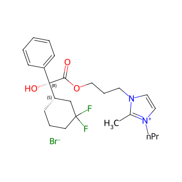 CCC[n+]1ccn(CCCOC(=O)[C@](O)(c2ccccc2)[C@H]2CCCC(F)(F)C2)c1C.[Br-]